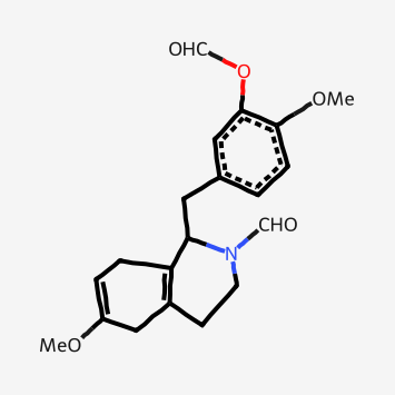 COC1=CCC2=C(CCN(C=O)C2Cc2ccc(OC)c(OC=O)c2)C1